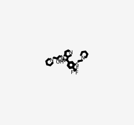 OC(CN1CCCCC1)CN1NC(c2ccc(C(F)(F)F)c(SCCN3CCCCC3)c2)C2CN=CC=C21